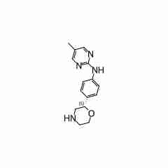 Cc1cnc(Nc2ccc([C@H]3CNCCO3)cc2)nc1